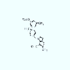 COc1cc(C)cc(C2(C)C=CC(Cn3ccc4sc(C)c(C=O)c43)=CC2)c1